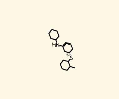 CC1CCCCC1S[C@H]1CC=C=C(NC2CCCCC2)C1